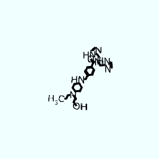 CCCN(CCO)[C@H]1CC[C@H](NCc2ccc(C(=O)N(Cc3ncc[nH]3)Cc3ncc[nH]3)cc2)CC1